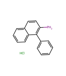 Cl.Pc1ccc2ccccc2c1-c1ccccc1